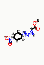 COC(=O)CN(C)/N=N/c1ccc([N+](=O)[O-])cc1